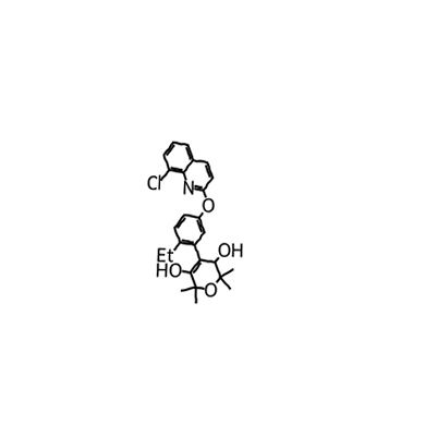 CCc1ccc(Oc2ccc3cccc(Cl)c3n2)cc1C1=C(O)C(C)(C)OC(C)(C)C1O